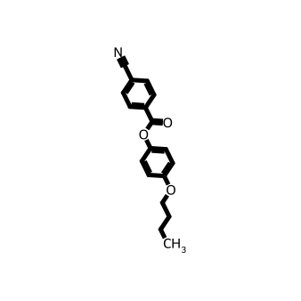 CCCCOc1ccc(OC(=O)c2ccc(C#N)cc2)cc1